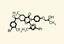 Cc1cc(C(C)C)nn1-c1nc2c(c(=O)n1-c1ccc(OCC(C)O)cc1)C[C@@H](C)N(C(=O)c1ccc(Br)c(C(F)(F)F)c1)C2